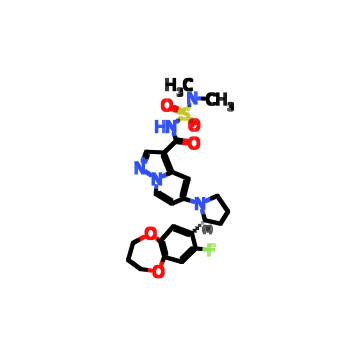 CN(C)S(=O)(=O)NC(=O)c1cnn2ccc(N3CCC[C@@H]3c3cc4c(cc3F)OCCCO4)cc12